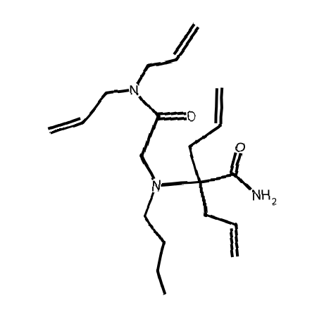 C=CCN(CC=C)C(=O)CN(CCCC)C(CC=C)(CC=C)C(N)=O